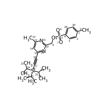 Cc1ccc(S(=O)(=O)OCc2nc(C)cc(C#C[Si](C(C)C)(C(C)C)C(C)C)n2)cc1